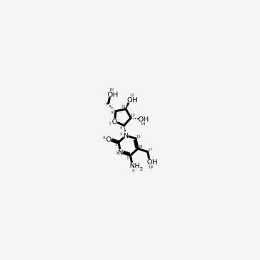 Nc1nc(=O)n([C@@H]2O[C@H](CO)[C@@H](O)[C@@H]2O)cc1CO